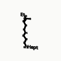 CCCCCCCCCCCCCC=C(C)CC